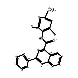 CCOC(=O)c1cc(C)c(NC(=O)c2cc(-c3ccccc3)nc3ccccc23)c(C)c1